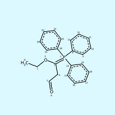 CCOC(CC=O)=P(c1ccccc1)(c1ccccc1)c1ccccc1